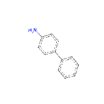 Nc1[c]cc(-c2ccccc2)cc1